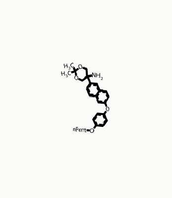 CCCCCOc1ccc(Oc2ccc3cc(C4(N)COC(C)(C)OC4)ccc3c2)cc1